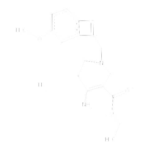 CCOC(=O)C1=C(N)CCN(CC2=Cc3ccc(OC)cc32)C1.Cl